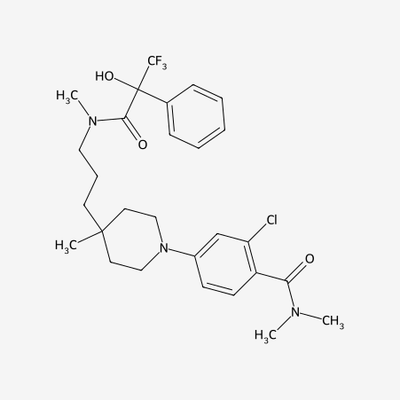 CN(C)C(=O)c1ccc(N2CCC(C)(CCCN(C)C(=O)C(O)(c3ccccc3)C(F)(F)F)CC2)cc1Cl